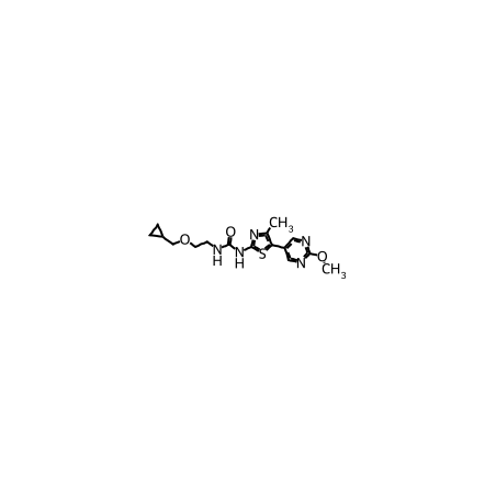 COc1ncc(-c2sc(NC(=O)NCCOCC3CC3)nc2C)cn1